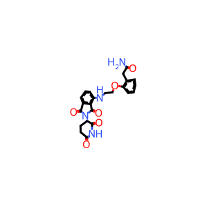 NC(=O)Cc1ccccc1OCCNc1cccc2c1C(=O)N(C1CCC(=O)NC1=O)C2=O